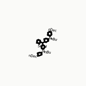 CCCCCCCCCCc1ccc(N(CCCC)c2ccc(C(c3ccc(N(CCCC)c4ccc(CCCCCCCCCC)cc4)cc3)c3ccccc3S(=O)(=O)O)cc2)cc1